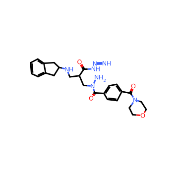 N=NNC(=O)C(CNC1Cc2ccccc2C1)CN(N)C(=O)c1ccc(C(=O)N2CCOCC2)cc1